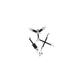 CC#N.O=[SH](=O)OC(F)(F)F.[Co]